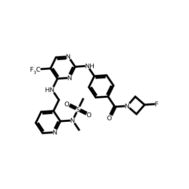 CN(c1ncccc1CNc1nc(Nc2ccc(C(=O)N3CC(F)C3)cc2)ncc1C(F)(F)F)S(C)(=O)=O